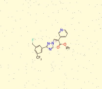 CC(C)OC(=O)/C(=C\n1cnc(-c2cc(CF)cc(C(F)(F)F)c2)n1)c1cccnc1